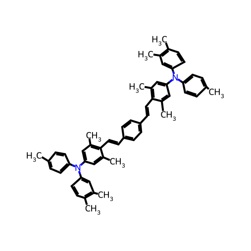 Cc1ccc(N(c2ccc(C)c(C)c2)c2cc(C)c(C=Cc3ccc(C=Cc4c(C)cc(N(c5ccc(C)cc5)c5ccc(C)c(C)c5)cc4C)cc3)c(C)c2)cc1